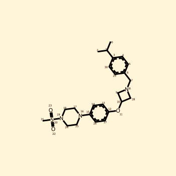 CC(C)c1ccc(CN2CC(Oc3ccc(N4CCN(S(C)(=O)=O)CC4)cc3)C2)cc1